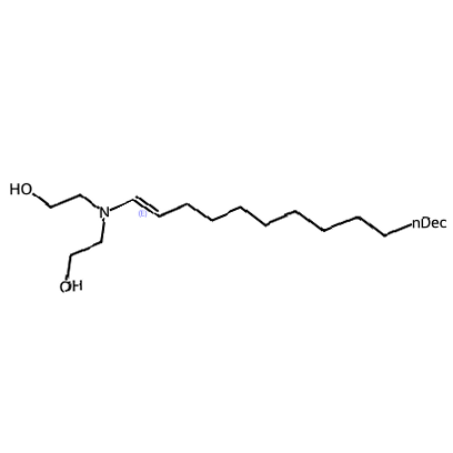 CCCCCCCCCCCCCCCCCC/C=C/N(CCO)CCO